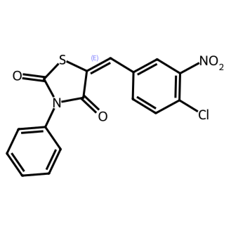 O=C1S/C(=C/c2ccc(Cl)c([N+](=O)[O-])c2)C(=O)N1c1ccccc1